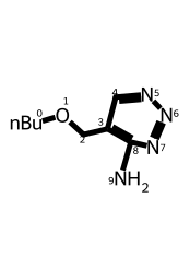 CCCCOCc1cnnnc1N